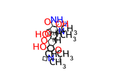 COc1c(CN(C)C2(C)CCC2)cc(O)c2c1C[C@H]1C[C@H]3[C@H](N(C)C)C(O)=C(C(N)=O)C4=CO[C@@]43C(O)=C1C2=O